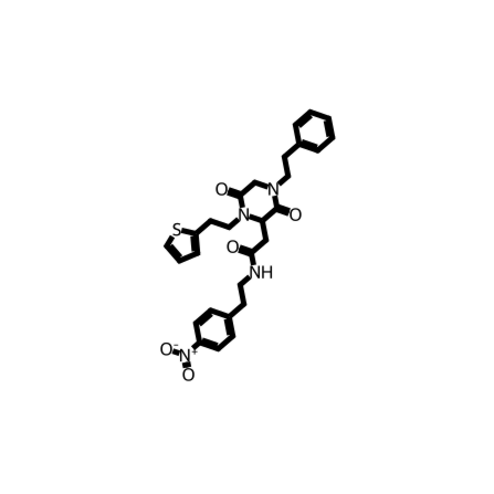 O=C(CC1C(=O)N(CCc2ccccc2)CC(=O)N1CCc1cccs1)NCCc1ccc([N+](=O)[O-])cc1